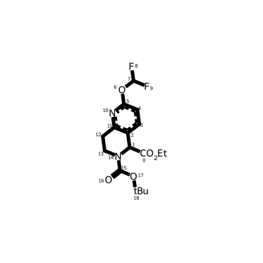 CCOC(=O)C1c2ccc(OC(F)F)nc2CCN1C(=O)OC(C)(C)C